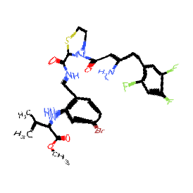 COC(=O)C(Nc1cc(Br)ccc1CNC(=O)C1SCCN1C(=O)CC(N)Cc1cc(F)c(F)cc1F)C(C)C